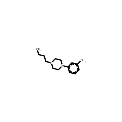 CCC[CH]N1CCN(c2cccc(C)c2)CC1